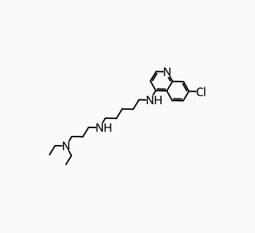 CCN(CC)CCCNCCCCCNc1ccnc2cc(Cl)ccc12